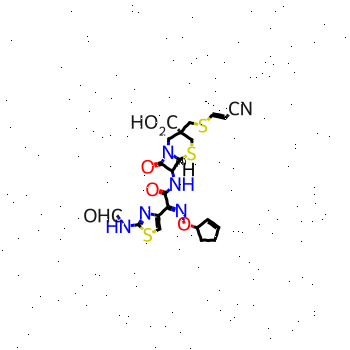 N#CC=CSCC1(C(=O)O)CS[C@@H]2C(NC(=O)C(=NOC3C=CCC3)c3csc(NC=O)n3)C(=O)N2C1